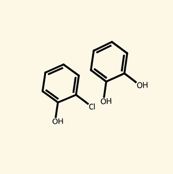 Oc1ccccc1Cl.Oc1ccccc1O